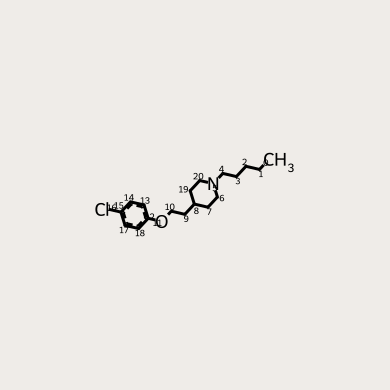 CCCCCN1CCC(CCOc2ccc(Cl)cc2)CC1